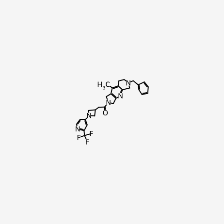 Cc1c2c(nc3c1CN(C(=O)CC1CN(c4ccnc(C(F)(F)F)c4)C1)C3)CN(Cc1ccccc1)CC2